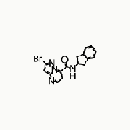 O=C(NC1Cc2ccccc2C1)c1ccnc2cc(Br)nn12